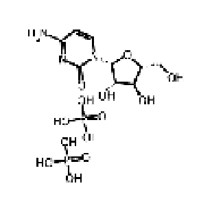 Nc1ccn([C@@H]2O[C@H](CO)[C@@H](O)[C@@H]2O)c(=O)n1.O=P(O)(O)O.O=P(O)(O)O